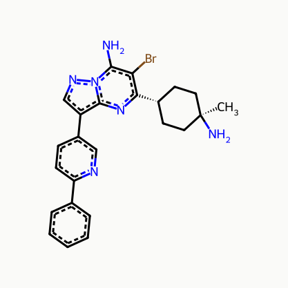 C[C@]1(N)CC[C@H](c2nc3c(-c4ccc(-c5ccccc5)nc4)cnn3c(N)c2Br)CC1